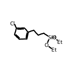 CCO[SiH](CCCc1cccc(Cl)c1)OCC